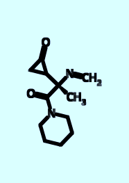 C=N[C@](C)(C(=O)N1CCCCC1)C1CC1=O